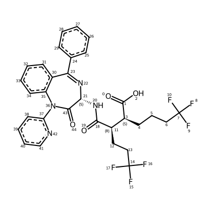 O=C(O)[C@@H](CCCC(F)(F)F)[C@@H](CCC(F)(F)F)C(=O)N[C@H]1N=C(c2ccccc2)c2ccccc2N(c2ccccn2)C1=O